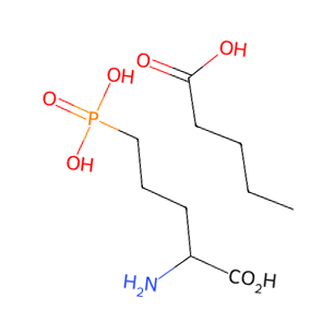 CCCCC(=O)O.NC(CCCP(=O)(O)O)C(=O)O